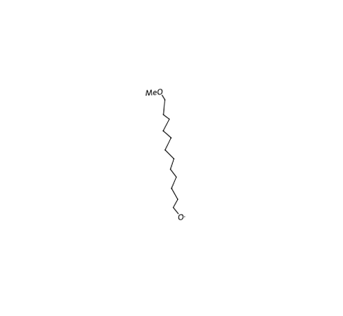 COCCCCCCCCCCCC[O]